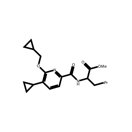 COC(=O)C(CC(C)C)NC(=O)c1ccc(C2CC2)c(OCC2CC2)n1